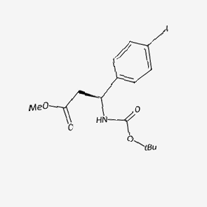 COC(=O)C[C@H](NC(=O)OC(C)(C)C)c1ccc(I)cc1